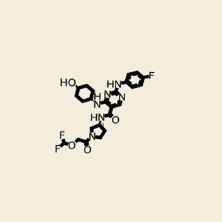 O=C(N[C@H]1CCN(C(=O)COC(F)F)C1)c1cnc(Nc2ccc(F)cc2)nc1N[C@H]1CC[C@H](O)CC1